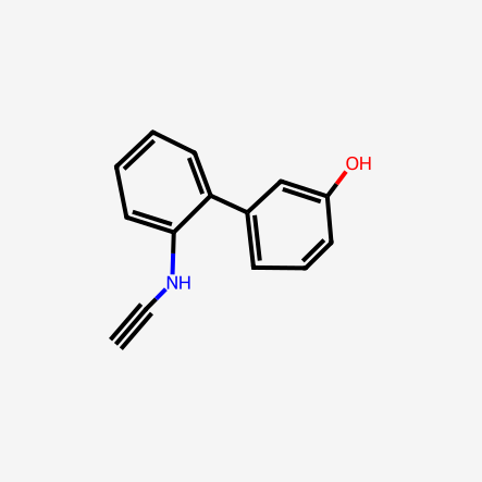 C#CNc1ccccc1-c1cccc(O)c1